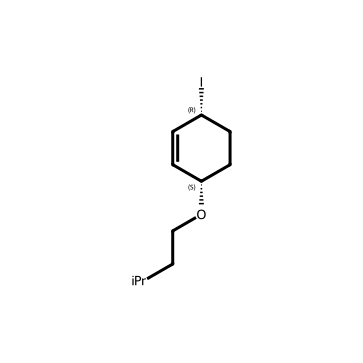 CC(C)CCO[C@@H]1C=C[C@H](I)CC1